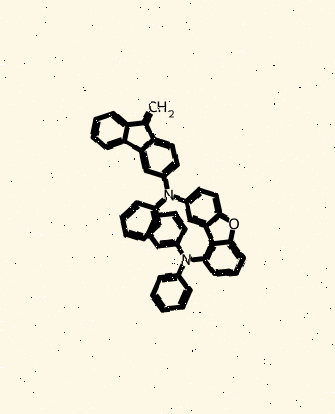 C=C1c2ccccc2-c2cc(N(c3ccccc3)c3ccc4oc5cccc(N(c6ccccc6)c6ccccc6)c5c4c3)ccc21